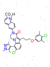 Cc1cc(OCCCc2c3n(c4c(-c5c(C)nn(C)c5C)c(Cl)ccc24)[C@H](C)CN(c2ccc4nc(C(=O)O)ccc4c2)C3=O)cc(C)c1Cl